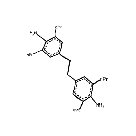 CCCc1cc(CCc2cc(CCC)c(N)c(CCC)c2)cc(CCC)c1N